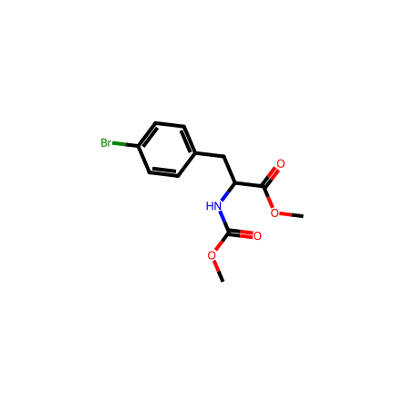 COC(=O)NC(Cc1ccc(Br)cc1)C(=O)OC